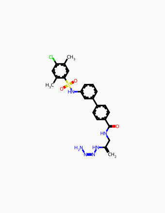 C=C(CNC(=O)c1ccc(-c2cccc(NS(=O)(=O)c3cc(C)c(Cl)cc3C)c2)cc1)N/N=N\N